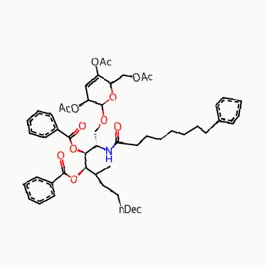 CCCCCCCCCCCCC(C)[C@@H](OC(=O)c1ccccc1)[C@@H](OC(=O)c1ccccc1)[C@H](COC1OC(COC(C)=O)C(OC(C)=O)=CC1OC(C)=O)NC(=O)CCCCCCCc1ccccc1